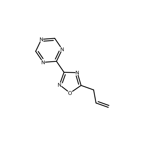 C=CCc1nc(-c2ncncn2)no1